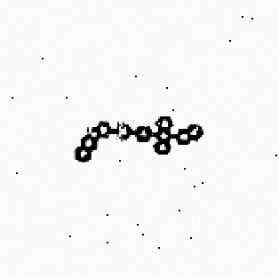 C1=c2ccccc2=CC2c3cc(-c4ncc(-c5ccc(-c6c7ccccc7c(-c7ccc8ccccc8c7)c7ccccc67)cc5)cn4)ccc3OC12